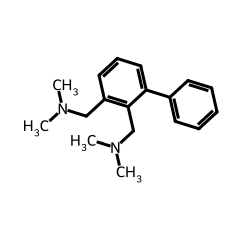 CN(C)Cc1cccc(-c2ccccc2)c1CN(C)C